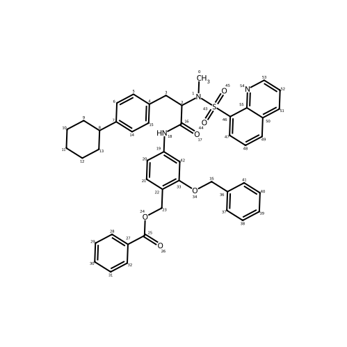 CN(C(Cc1ccc(C2CCCCC2)cc1)C(=O)Nc1ccc(COC(=O)c2ccccc2)c(OCc2ccccc2)c1)S(=O)(=O)c1cccc2cccnc12